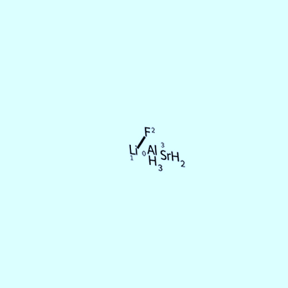 [AlH3].[Li][F].[SrH2]